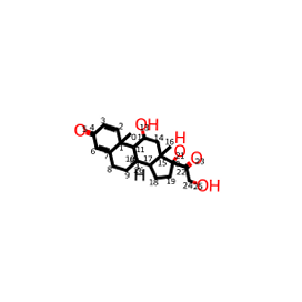 CC12C=CC(=O)C=C1CC[C@H]1C2C(O)CC2(C)C1CCC2(O)C(=O)CO